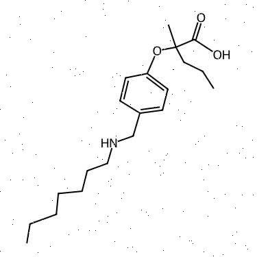 CCCCCCCNCc1ccc(OC(C)(CCC)C(=O)O)cc1